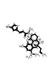 C=CCN1CC[C@]23c4c5c(N(C)C)cc(O)c4O[C@H]2[C@H](N(C)C(=O)/C=C/c2cc(Br)cs2)CC[C@H]3[C@H]1C5